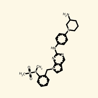 CN(c1ccccc1Cn1ccc2cnc(Nc3ccc(N4CCCC(N)C4)cc3)nc21)S(C)(=O)=O